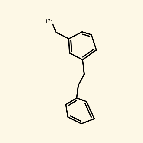 CC(C)Cc1cccc(CCc2ccccc2)c1